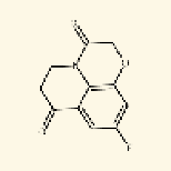 O=C1CCN2C(=O)COc3cc(F)cc1c32